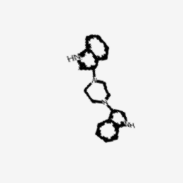 c1ccc2c(N3CCN(c4c[nH]c5ccccc45)CC3)c[nH]c2c1